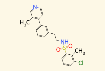 Cc1cnccc1-c1cccc(CCNS(=O)(=O)c2cccc(Cl)c2C)c1